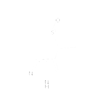 CC([S+]=O)c1cn[nH]c1